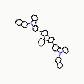 c1ccc2cc(-n3c4ccccc4c4cc(-c5ccc6c(c5)C5(CCCCC5)c5cc(-c7ccc8c(c7)c7ccccc7n8-c7ccc8ccccc8c7)ccc5-6)ccc43)ccc2c1